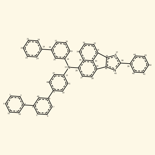 c1ccc(-c2cccc(-c3ccc(N(c4cccc(-c5ccccc5)c4)c4ccc5c6c(cccc46)-c4sc(-c6ccccc6)nc4-5)cc3)c2)cc1